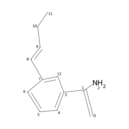 C=C(N)c1cccc(/C=C/CC)c1